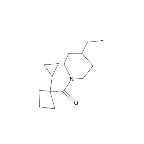 CCC1CCN(C(=O)C2(C3CC3)CCC2)CC1